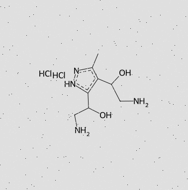 Cc1n[nH]c(C(O)CN)c1C(O)CN.Cl.Cl